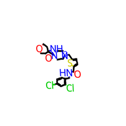 NC1(C(=O)N2CCN(Cc3ccc(C(=O)NCc4ccc(Cl)cc4Cl)s3)CC2)CCOCC1